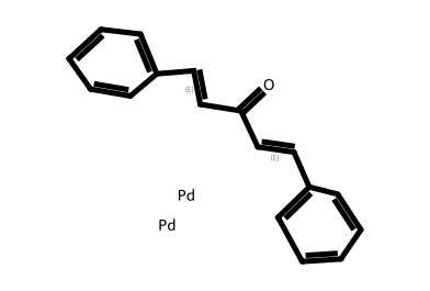 O=C(/C=C/c1ccccc1)/C=C/c1ccccc1.[Pd].[Pd]